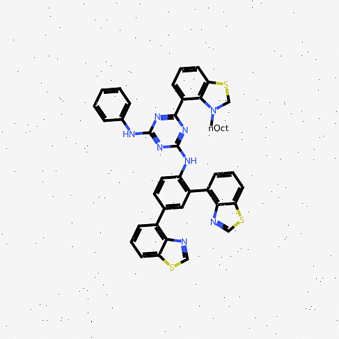 CCCCCCCCN1CSc2cccc(-c3nc(Nc4ccccc4)nc(Nc4ccc(-c5cccc6scnc56)cc4-c4cccc5scnc45)n3)c21